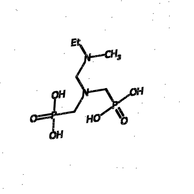 CCN(C)CN(CP(=O)(O)O)CP(=O)(O)O